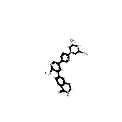 CC1CN(c2ccc(-c3cnc(N)c(-c4ccc5c(c4)CCNC5=O)c3)cn2)C[C@H](C)O1